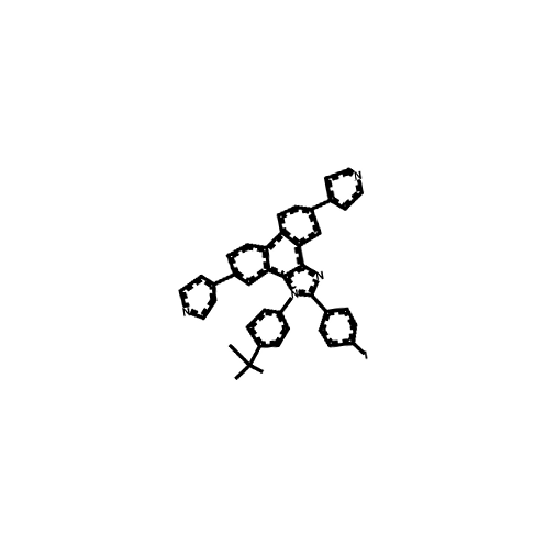 CC(C)(C)c1ccc(-n2c(-c3ccc(I)cc3)nc3c4cc(-c5ccncc5)ccc4c4ccc(-c5ccncc5)cc4c32)cc1